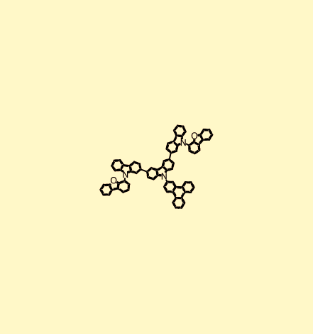 c1ccc2c(c1)oc1c(-n3c4ccccc4c4ccc(-c5ccc6c(c5)c5cc(-c7ccc8c9ccccc9n(-c9cccc%10c9oc9ccccc9%10)c8c7)ccc5n6-c5ccc6c7ccccc7c7ccccc7c6c5)cc43)cccc12